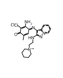 CC1=C/C(=N\c2c(NCC[N+]3(C)CCCCC3)nn3ccccc23)C(N)=C(Cl)C1=O.[Cl-]